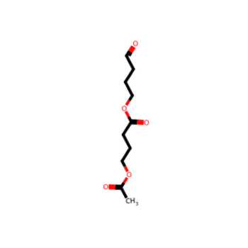 CC(=O)OCCCC(=O)OCCCC=O